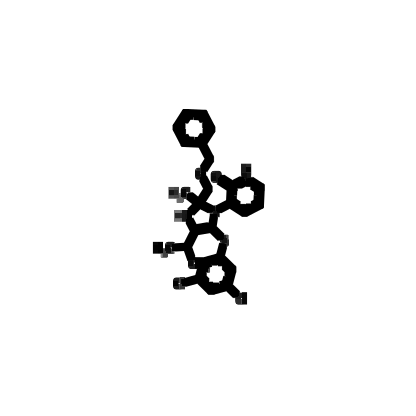 CC(C)C1=C(Sc2cc(Cl)cc(Cl)c2)N(c2ccc[nH]c2=O)C(C)(COCc2ccccc2)N1